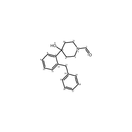 O=CN1CCC(O)(c2ccccc2Cc2ccccc2)CC1